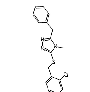 Cn1c(Cc2ccccc2)nnc1SCc1ccccc1Cl